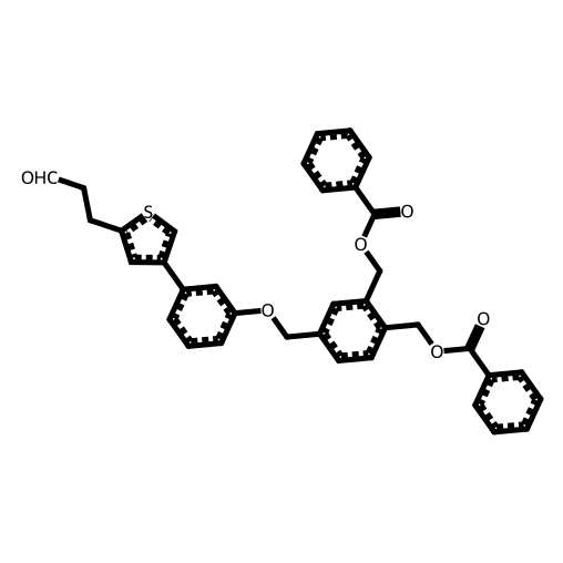 O=CCCc1cc(-c2cccc(OCc3ccc(COC(=O)c4ccccc4)c(COC(=O)c4ccccc4)c3)c2)cs1